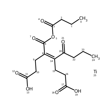 CCCC(=O)OC(=O)C(CCC(=O)O)=C(CCC(=O)O)C(=O)CCC.[Ti]